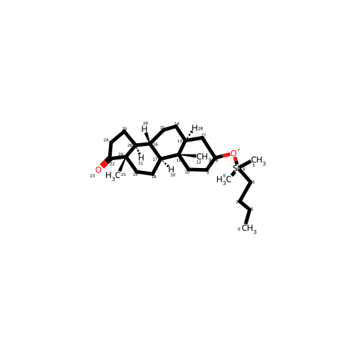 CCCC[Si](C)(C)OC1CC[C@@]2(C)[C@@H](CC[C@@H]3[C@@H]2CC[C@]2(C)C(=O)CC[C@@H]32)C1